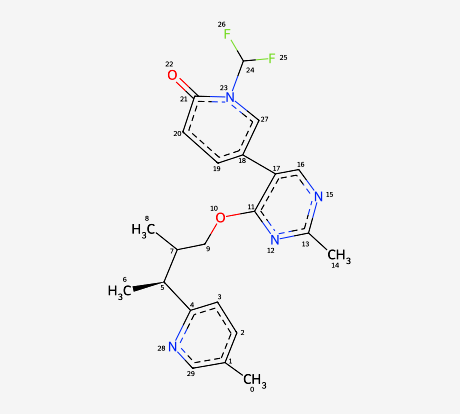 Cc1ccc([C@@H](C)C(C)COc2nc(C)ncc2-c2ccc(=O)n(C(F)F)c2)nc1